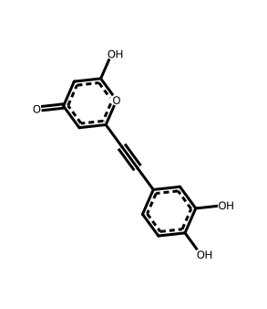 O=c1cc(O)oc(C#Cc2ccc(O)c(O)c2)c1